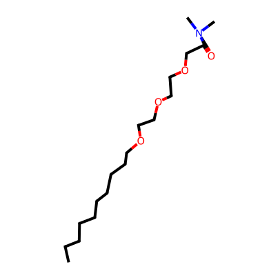 CCCCCCCCCCOCCOCCOCC(=O)N(C)C